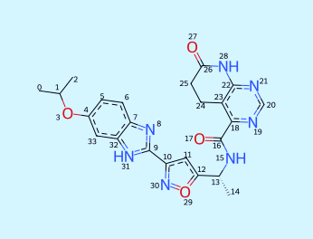 CC(C)Oc1ccc2nc(-c3cc([C@@H](C)NC(=O)c4ncnc5c4CCC(=O)N5)on3)[nH]c2c1